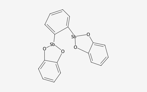 c1ccc2c(c1)[O][Sb]([c]1cccc[c]1[Sb]1[O]c3ccccc3[O]1)[O]2